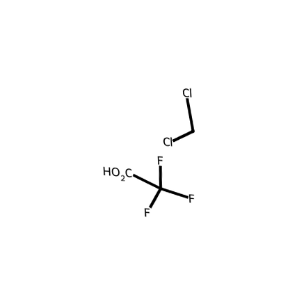 ClCCl.O=C(O)C(F)(F)F